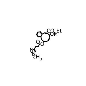 CCOC(=O)C1=Cc2ccccc2CC(OC(=O)C=Cc2cn(C)cn2)CC=CC1O